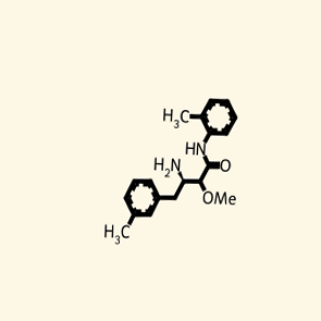 COC(C(=O)Nc1ccccc1C)[C@H](N)Cc1cccc(C)c1